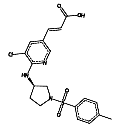 Cc1ccc(S(=O)(=O)N2CC[C@@H](Nc3ncc(C=CC(=O)O)cc3Cl)C2)cc1